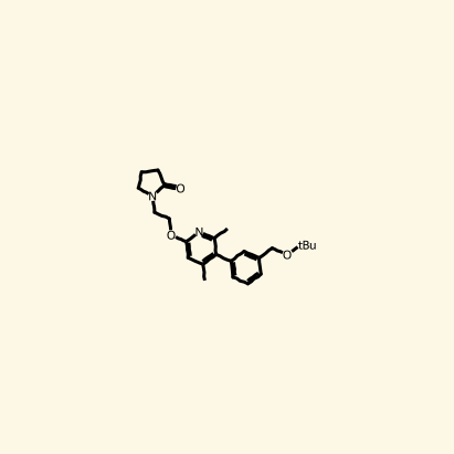 Cc1cc(OCCN2CCCC2=O)nc(C)c1-c1cccc(COC(C)(C)C)c1